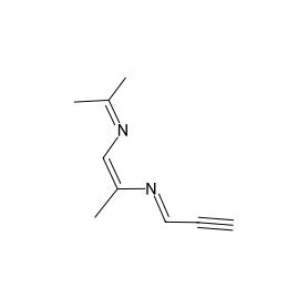 C#C/C=N/C(C)=C\N=C(C)C